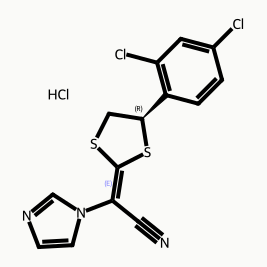 Cl.N#C/C(=C1/SC[C@@H](c2ccc(Cl)cc2Cl)S1)n1ccnc1